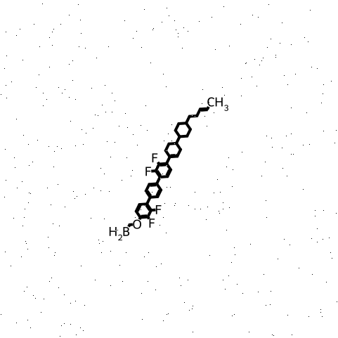 BCOc1ccc(-c2ccc(-c3ccc(C4=CCC(C5CCC(CC/C=C/C)CC5)CC4)c(F)c3F)cc2)c(F)c1F